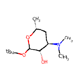 C[C@@H]1C[C@@H](N(C)C)[C@H](O)C(OC(C)(C)C)O1